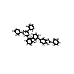 c1ccc(-c2nc(-c3ccccc3)nc(-c3cccc4oc5c(-c6ccc7nc(-c8ccccc8)sc7c6)cccc5c34)n2)cc1